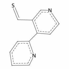 S=Cc1cnccc1-c1ccccn1